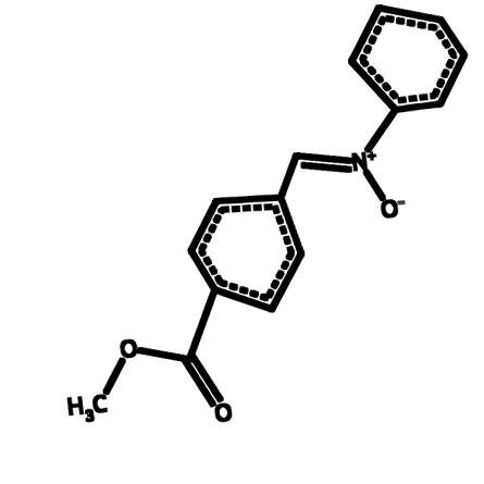 COC(=O)c1ccc(C=[N+]([O-])c2ccccc2)cc1